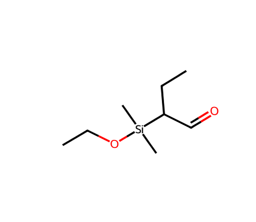 CCO[Si](C)(C)C(C=O)CC